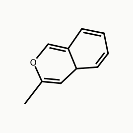 CC1=CC2C=CC=CC2=CO1